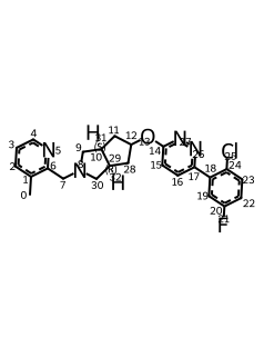 Cc1cccnc1CN1C[C@H]2CC(Oc3ccc(-c4cc(F)ccc4Cl)nn3)C[C@H]2C1